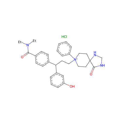 CCN(CC)C(=O)c1ccc(C(CC[N+]2(c3ccccc3)CCC3(CC2)NCNC3=O)c2cccc(O)c2)cc1.Cl